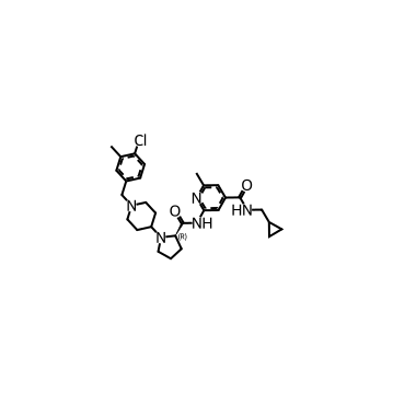 Cc1cc(C(=O)NCC2CC2)cc(NC(=O)[C@H]2CCCN2C2CCN(Cc3ccc(Cl)c(C)c3)CC2)n1